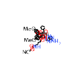 COc1ccc(C(OC(C(=O)c2ccccc2)[C@H]2O[C@@H](n3cnc4c(N)ncnc43)[C@H](OCCCCCNC(=O)OCCC#N)[C@@]2(O)[Si](c2ccccc2)(c2ccccc2)C(C)(C)C)(c2ccccc2)c2ccc(OC)cc2)cc1